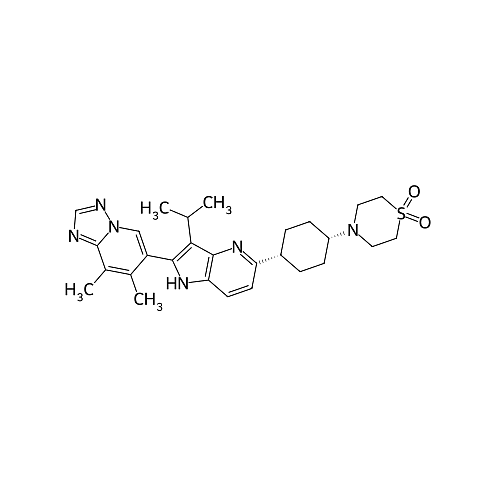 Cc1c(-c2[nH]c3ccc([C@H]4CC[C@@H](N5CCS(=O)(=O)CC5)CC4)nc3c2C(C)C)cn2ncnc2c1C